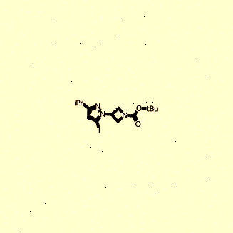 CC(C)c1cc(I)n(C2CN(C(=O)OC(C)(C)C)C2)n1